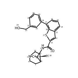 O=C(N[C@H]1CN2CCC1CC2)c1cc2cccc(-c3cccc(CO)c3)c2s1